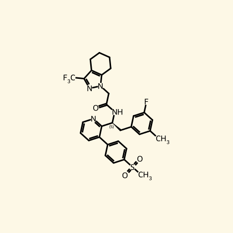 Cc1cc(F)cc(C[C@H](NC(=O)Cn2nc(C(F)(F)F)c3c2CCCC3)c2ncccc2-c2ccc(S(C)(=O)=O)cc2)c1